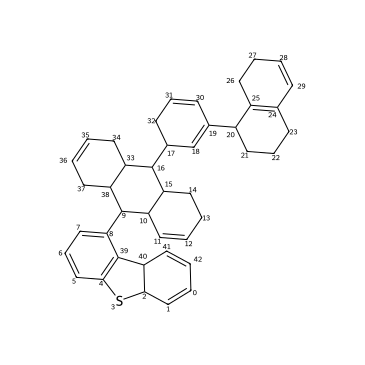 C1=CC2Sc3cccc(C4C5C=CCCC5C(C5C=C(C6CCCC7=C6CCC=C7)C=CC5)C5CC=CCC54)c3C2C=C1